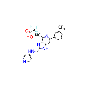 N#Cc1nc(-c2cccc(C(F)(F)F)c2)cc2[nH]c(CNc3ccncc3)nc12.O=C(O)C(F)(F)F